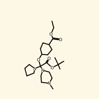 CCOC(=O)C1CCC(OC(C(=O)OC(C)(C)C)(N2CCCC2)N2CCN(C)CC2)CC1